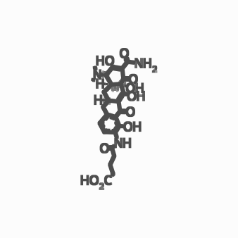 CN(C)[C@H]1C(O)=C(C(N)=O)C(=O)[C@@]2(O)C(O)=C3C(=O)c4c(ccc(NC(=O)CCCC(=O)O)c4O)C[C@H]3C[C@@H]12